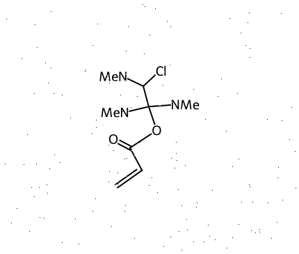 C=CC(=O)OC(NC)(NC)C(Cl)NC